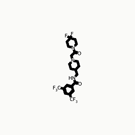 O=C(NCC1CCN(CC(=O)N2CCC(F)(F)CC2)CC1)c1cc(C(F)(F)F)cc(C(F)(F)F)c1